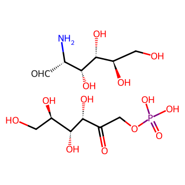 N[C@@H](C=O)[C@@H](O)[C@H](O)[C@H](O)CO.O=C(COP(=O)(O)O)[C@@H](O)[C@H](O)[C@H](O)CO